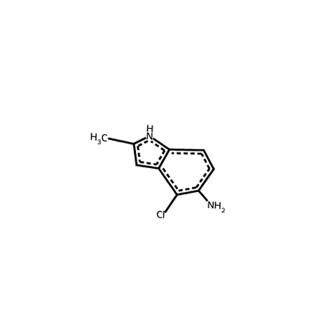 Cc1cc2c(Cl)c(N)ccc2[nH]1